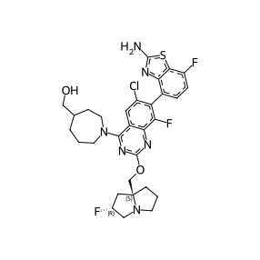 Nc1nc2c(-c3c(Cl)cc4c(N5CCCC(CO)CC5)nc(OC[C@@]56CCCN5C[C@H](F)C6)nc4c3F)ccc(F)c2s1